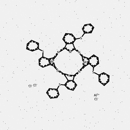 [Al+3].[Cl-].[Cl-].[Cl-].c1ccc(Sc2cccc3c2-c2nc-3nc3[nH]c(nc4nc(nc5[nH]c(n2)c2cccc(Sc6ccccc6)c52)-c2cccc(Sc5ccccc5)c2-4)c2cccc(Sc4ccccc4)c32)cc1